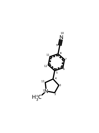 CN1CCC(c2ccc(C#N)cc2)C1